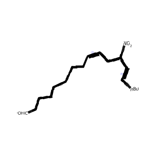 CCCC/C=C/C(C/C=C\CCCCCCC[C]=O)[N+](=O)[O-]